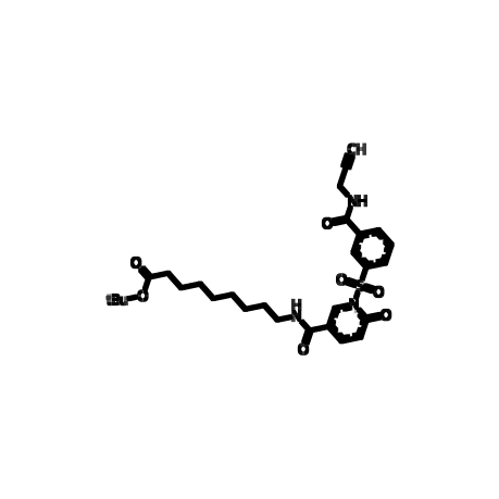 C#CCNC(=O)c1cccc(S(=O)(=O)n2cc(C(=O)NCCCCCCCCC(=O)OC(C)(C)C)ccc2=O)c1